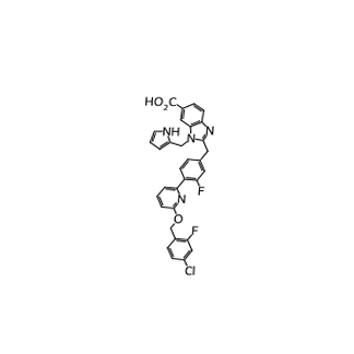 O=C(O)c1ccc2nc(Cc3ccc(-c4cccc(OCc5ccc(Cl)cc5F)n4)c(F)c3)n(Cc3ccc[nH]3)c2c1